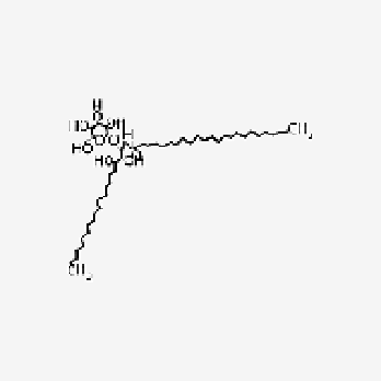 CCCCCCCCCCCCCCCCCCCCCCCC(=O)N[C@@H](CO[C@H]1O[C@H](CO)[C@@H](O)[C@H](O)[C@H]1O)[C@H](O)[C@H](O)CCCCCCCCCCCCCCCCC